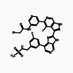 CC(C)CC(=O)Nc1cncc(-c2ncc3[nH]nc(-c4nc5c(-c6cc(F)cc(CNS(C)(=O)=O)c6)cncc5[nH]4)c3c2F)c1